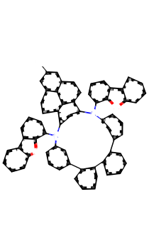 CC(C)(C)c1cc2ccc3c4cc(c5ccc(c1)c2c35)N(c1cccc2c1oc1ccccc12)c1cccc(c1)-c1ccccc1-c1ccccc1-c1cccc(c1)N4c1cccc2c1oc1ccccc12